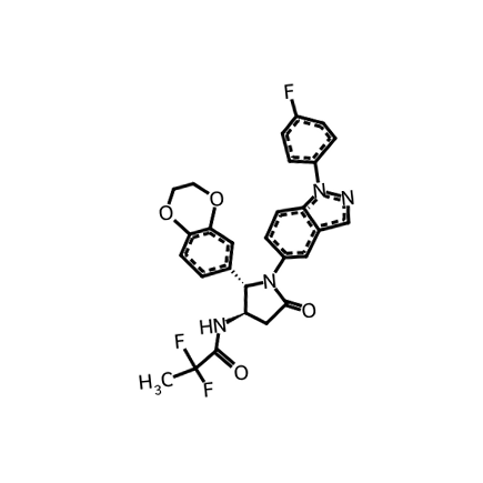 CC(F)(F)C(=O)N[C@@H]1CC(=O)N(c2ccc3c(cnn3-c3ccc(F)cc3)c2)[C@H]1c1ccc2c(c1)OCCO2